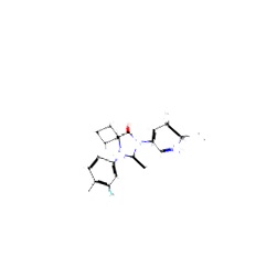 C=C1N(c2cnc(C#N)c(C(F)(F)F)c2)C(=O)C2(CCC2)N1c1ccc(C)c(F)c1